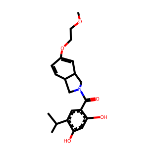 COCCOC1=CC2CN(C(=O)c3cc(C(C)C)c(O)cc3O)[C]C2C=C1